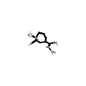 CC(=O)O/N=C(\N)C1CCCN(C)C(=O)C1